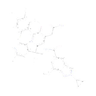 CCOc1c(CC(N)=O)cc([C@@](O)(CNC(=O)c2cc(OC)c3nn(C4CC4)cc3c2)c2ccnc(C)c2)nc1-c1cc(Cl)c(F)cc1F